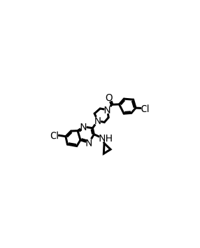 O=C(c1ccc(Cl)cc1)N1CCN(c2nc3cc(Cl)ccc3nc2NC2CC2)CC1